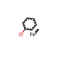 [CH2]=[Fe+].[O-]c1ccccc1